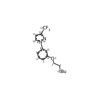 CC(C)(C)CCOc1cccc(-n2ccc(C(F)(F)F)n2)c1